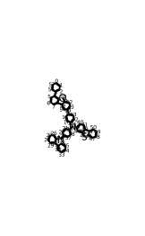 c1ccc(-c2cccc3c2oc2ccc(-c4ccc(N(c5ccc(-n6c7ccccc7c7ccccc76)cc5)c5ccc6c(c5)sc5ccccc56)cc4)cc23)cc1